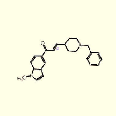 Cn1ccc2cc(C(=O)/C=C/C3CCN(Cc4ccccc4)CC3)ccc21